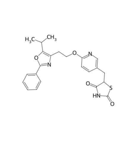 CC(C)c1oc(-c2ccccc2)nc1CCOc1ccc(CC2SC(=O)NC2=O)cn1